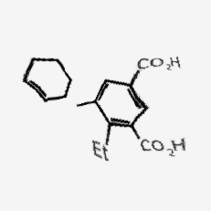 C1=CCCCC1.CCc1c(C)cc(C(=O)O)cc1C(=O)O